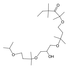 CCC(C)(C)C(=O)C(C)(C)OCCC(C)(C)OCC(O)COC(C)(C)CCOC(C)C